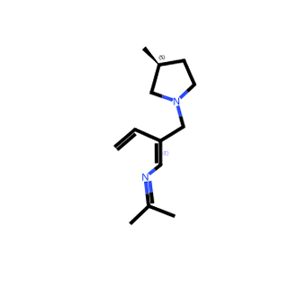 C=C/C(=C\N=C(C)C)CN1CC[C@H](C)C1